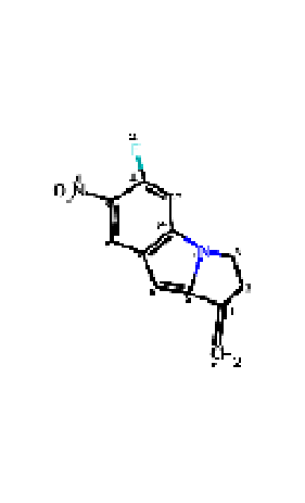 C=C1CCn2c1cc1cc([N+](=O)[O-])c(F)cc12